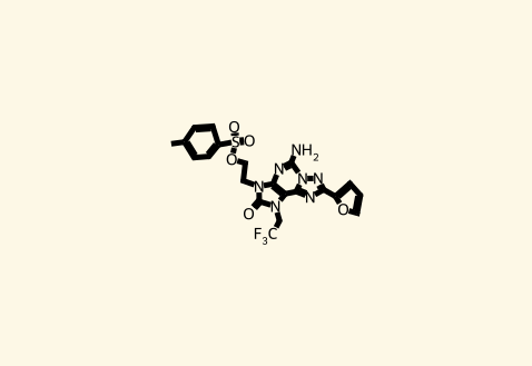 Cc1ccc(S(=O)(=O)OCCn2c(=O)n(CC(F)(F)F)c3c2nc(N)n2nc(-c4ccco4)nc32)cc1